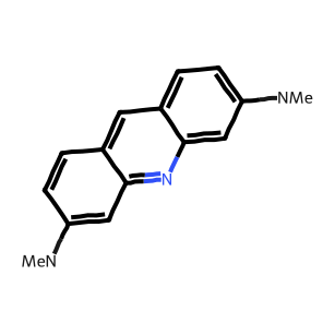 CNc1ccc2cc3ccc(NC)cc3nc2c1